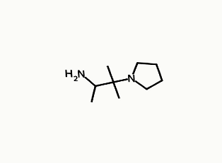 CC(N)C(C)(C)N1CCCC1